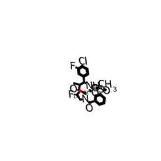 CS(=O)(=O)c1cccc(C(=O)N2C[C@@H](F)C[C@@H]2C(=O)NC(c2ccc(Cl)c(F)c2)C2COC2)c1